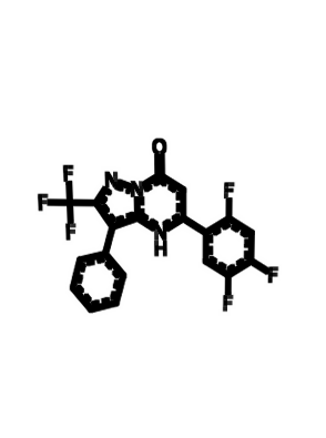 O=c1cc(-c2cc(F)c(F)cc2F)[nH]c2c(-c3ccccc3)c(C(F)(F)F)nn12